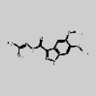 COc1cc2[nH]nc(C(=O)NN=C(C)C)c2cc1OC